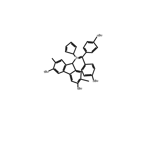 CCCCc1ccc([C](c2ccc(CCCC)cc2)=[Zr]([CH]2C=CC=C2)[CH]2c3cc(C)c(C(C)(C)C)cc3-c3cc(C(C)(C)C)c(C)cc32)cc1